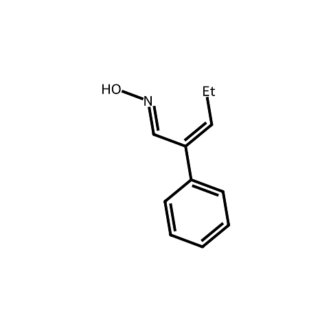 CCC=C(C=NO)c1ccccc1